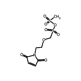 CS(=O)(=O)OS(=O)(=O)COCCN1C(=O)C=CC1=O